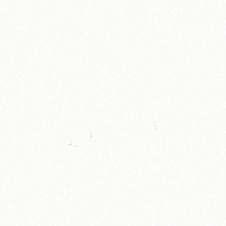 C1CCC(P(C2CCCCC2)C2CCCCC2)CC1.[Cl][Au]